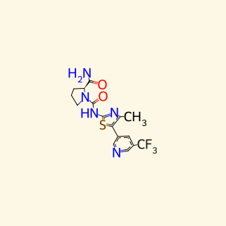 Cc1nc(NC(=O)N2CCC[C@H]2C(N)=O)sc1-c1cncc(C(F)(F)F)c1